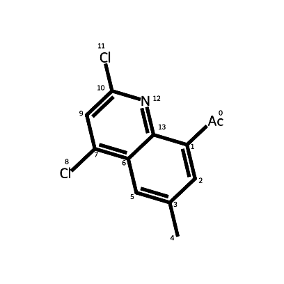 CC(=O)c1cc(C)cc2c(Cl)cc(Cl)nc12